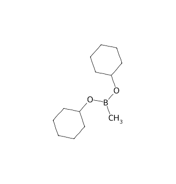 CB(OC1CCCCC1)OC1CCCCC1